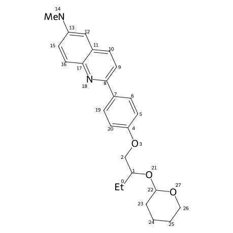 CCC(COc1ccc(-c2ccc3cc(NC)ccc3n2)cc1)OC1CCCCO1